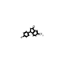 O=C1CC(c2ccc(F)cc2)c2ccc(C(F)(F)F)cc21